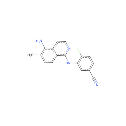 Cc1ccc2c(Nc3cc(C#N)ccc3F)nccc2c1N